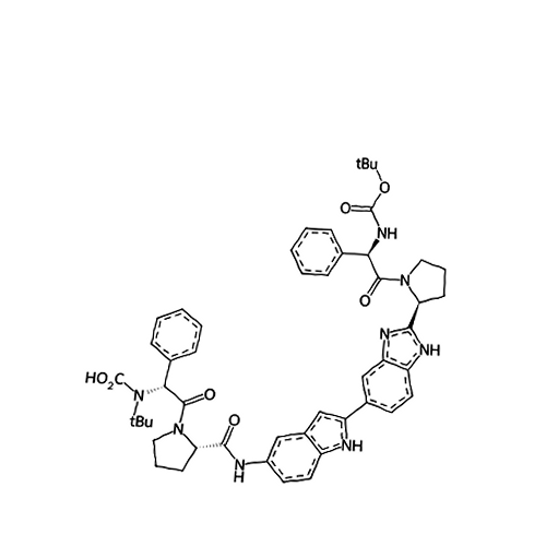 CC(C)(C)OC(=O)N[C@@H](C(=O)N1CCC[C@H]1c1nc2cc(-c3cc4cc(NC(=O)[C@@H]5CCCN5C(=O)[C@@H](c5ccccc5)N(C(=O)O)C(C)(C)C)ccc4[nH]3)ccc2[nH]1)c1ccccc1